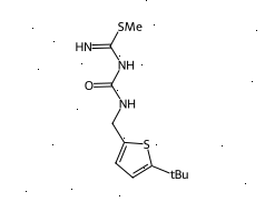 CSC(=N)NC(=O)NCc1ccc(C(C)(C)C)s1